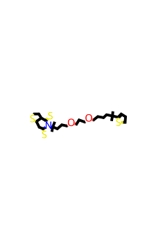 CC(C)(CCCCOCCCOCCCC(C)(C)N1C(=S)CC2SCCC2C1=S)C1=CCCS1